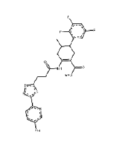 COC(=O)C1=C(NC(=O)CCc2nc(-c3ccc(O)cn3)no2)CC(C)C(c2cc(F)cc(F)c2F)C1